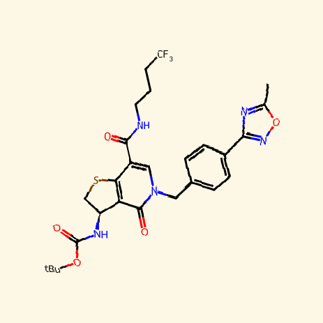 Cc1nc(-c2ccc(Cn3cc(C(=O)NCCCC(F)(F)F)c4c(c3=O)[C@@H](NC(=O)OC(C)(C)C)CS4)cc2)no1